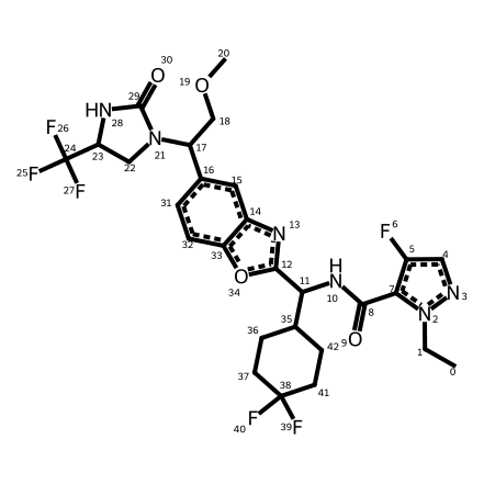 CCn1ncc(F)c1C(=O)NC(c1nc2cc(C(COC)N3CC(C(F)(F)F)NC3=O)ccc2o1)C1CCC(F)(F)CC1